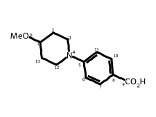 COC1CCN(c2ccc(C(=O)O)cc2)CC1